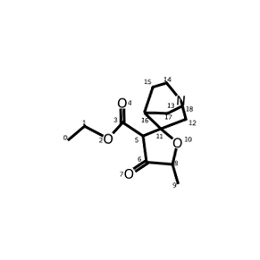 CCOC(=O)C1C(=O)C(C)OC12CN1CCC2CC1